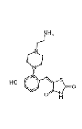 Cl.NCCN1CCN(c2ccccc2/C=C2/SC(=O)NC2=O)CC1